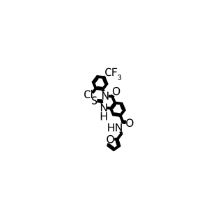 O=C(NCc1ccco1)c1ccc2c(=O)n(-c3cc(C(F)(F)F)ccc3Cl)c(=S)[nH]c2c1